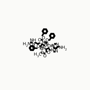 COC(=O)[C@H]1O[C@@H](n2cnc3c(N)ncnc32)[C@H](O)[C@@H]1NC(=O)[C@@](CCCNC(=N)N)(C(=O)OCc1ccccc1)N(C(=O)OCc1ccccc1)C(=O)OCc1ccccc1